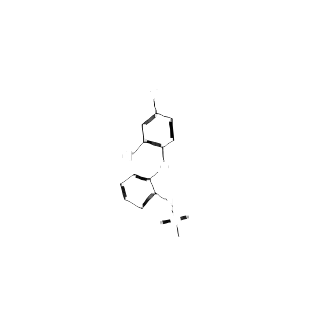 CS(=O)(=O)Nc1ccccc1Oc1ccc(SF)cc1Cl